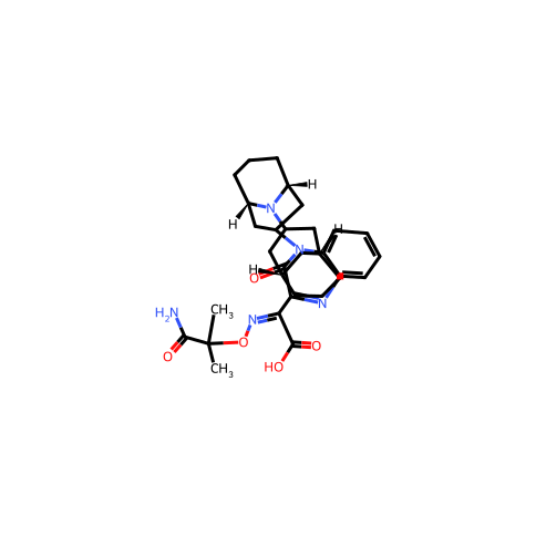 CC(C)(O/N=C(\C(=O)O)c1nc2ccccc2n(C2C[C@H]3CCC[C@@H](C2)N3C2C[C@H]3CCC[C@@H](C2)C3)c1=O)C(N)=O